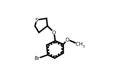 COc1ccc(Br)cc1OC1CCSC1